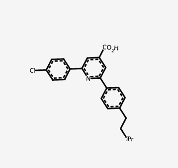 CC(C)CCc1ccc(-c2cc(C(=O)O)cc(-c3ccc(Cl)cc3)n2)cc1